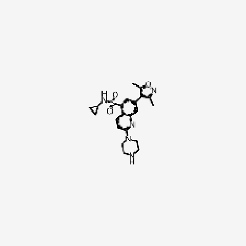 Cc1noc(C)c1-c1cc(S(=O)(=O)NC2CC2)c2ccc(N3CCNCC3)nc2c1